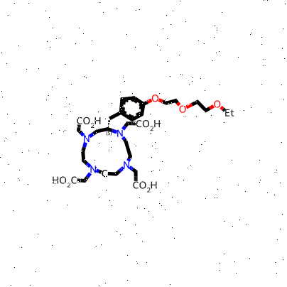 CCOCCOCCOc1ccc(C[C@H]2CN(CC(=O)O)CCN(CC(=O)O)CCN(CC(=O)O)CCN2CC(=O)O)cc1